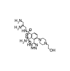 NC[C@H](N)CNS(=O)(=O)c1ccc(N2CCN(CCO)CC2)c(-c2nnn[nH]2)c1S(N)(=O)=O